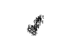 CCn1cnc(NC(=O)c2cc3c(nc2C)nc(C(c2ccccc2C)c2ccccc2F)n3CC)n1